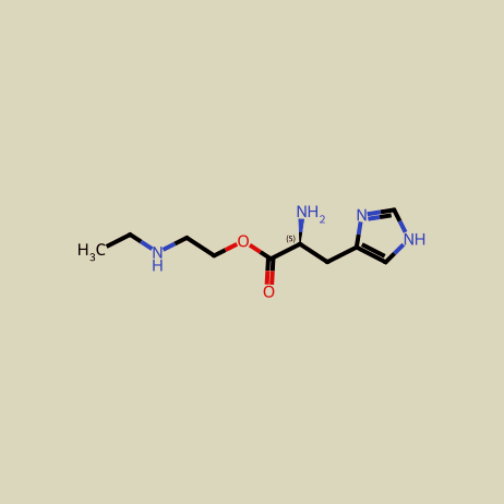 CCNCCOC(=O)[C@@H](N)Cc1c[nH]cn1